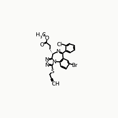 C#CCSc1nnc2n1-c1ccc(Br)cc1C(c1ccccc1Cl)=N[C@H]2CCC(=O)OC